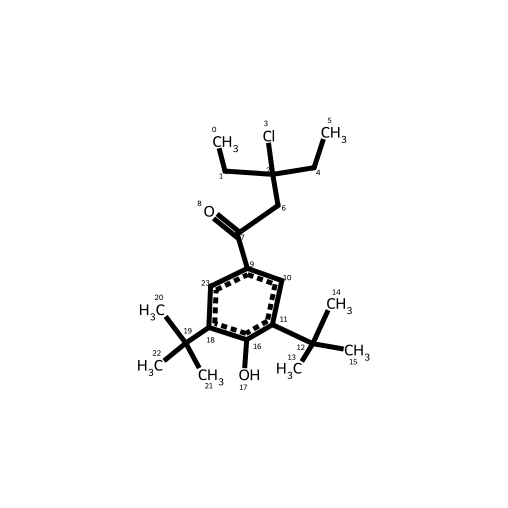 CCC(Cl)(CC)CC(=O)c1cc(C(C)(C)C)c(O)c(C(C)(C)C)c1